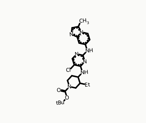 CCC1CN(C(=O)OC(C)(C)C)CCC1Nc1nc(Nc2ccn3c(C)cnc3c2)ncc1Cl